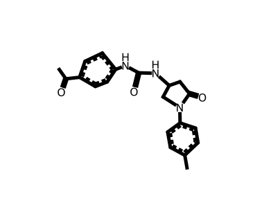 CC(=O)c1ccc(NC(=O)NC2CC(=O)N(c3ccc(C)cc3)C2)cc1